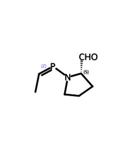 C/C=P\N1CCC[C@H]1C=O